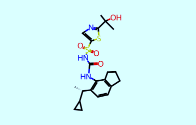 C[C@H](c1ccc2c(c1NC(=O)NS(=O)(=O)c1cnc(C(C)(C)O)s1)CCC2)C1CC1